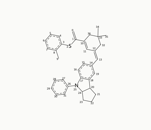 C=C(Sc1ccccc1C)C1=C/C(=C\c2ccc3c(c2)C2CCCC2N3c2ccccc2)CC(C)(C)C1